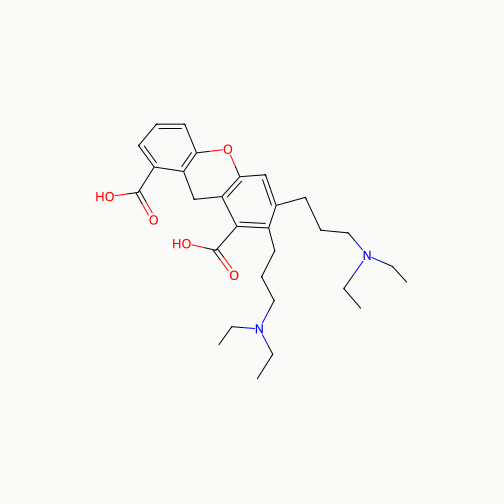 CCN(CC)CCCc1cc2c(c(C(=O)O)c1CCCN(CC)CC)Cc1c(cccc1C(=O)O)O2